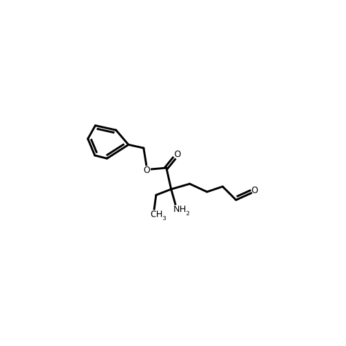 CCC(N)(CCCC=O)C(=O)OCc1ccccc1